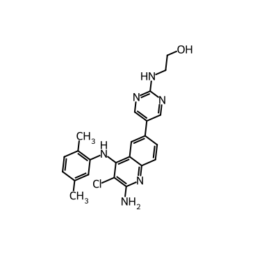 Cc1ccc(C)c(Nc2c(Cl)c(N)nc3ccc(-c4cnc(NCCO)nc4)cc23)c1